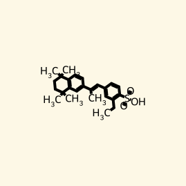 CCc1cc(/C=C(\C)c2ccc3c(c2)C(C)(C)CCC3(C)C)ccc1S(=O)(=O)O